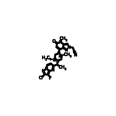 CC[C@@H]1CN(c2cc(=O)n(C)c3cn(CC#N)nc23)[C@@H](C)CN1C(C)c1ccn2nc(Cl)c(F)c2n1